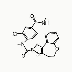 CNC(=O)c1ccc(N(C)C(=O)N2CC3=C(CCOc4ccccc43)S2)c(Cl)c1